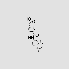 CC1(C)CCC(C)(C)c2cc(NC(=O)c3ccc(CC(=O)O)cc3)ccc21